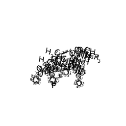 C=C(C#CCO[C@H](C)[C@H](NC(=O)[C@H](C)NC)C(=O)N1CC[C@@H]2[C@H]1[C@@H](Oc1ccc(F)cc1)CN2C(=O)OCc1ccccc1)CO[C@H](C)[C@H](NC(=O)[C@H](C)NC)C(=O)N1CC[C@@H]2[C@H]1[C@@H](Oc1ccc(F)cc1)CN2C(=O)OCc1ccccc1